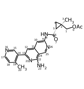 CC(=O)OC[C@]1(C)C[C@H]1C(=O)Nc1cc2cc(-c3cnccc3C)nc(N)c2cn1